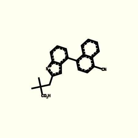 CC(C)(Cc1cc2c(-c3ccc(C#N)c4ccccc34)cccc2s1)C(=O)O